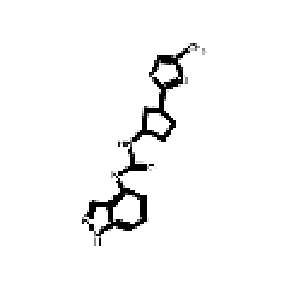 Cc1csc(C2CCC(NC(=O)Nc3cccc4[nH]ncc34)C2)n1